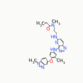 C=CC(=O)N(C)CCCNc1ccc2ncnc(Nc3ccc(Oc4ccc5c(c4)ncn5C)c(C)c3)c2n1